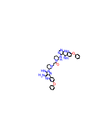 N=C(c1ccc(Oc2ccccc2)cc1)c1c(N)ncnc1N[C@@H]1CCCN(C(=O)CCN2CCCC(N3N=C(c4ccc(Oc5ccccc5)cc4)C(=C(N)N)C3=N)C2)C1